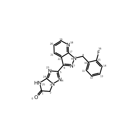 O=C1Cn2nc(-c3nn(Cc4ccccc4F)c4ncccc34)nc2N1